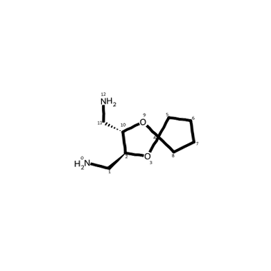 NC[C@@H]1OC2(CCCC2)O[C@H]1CN